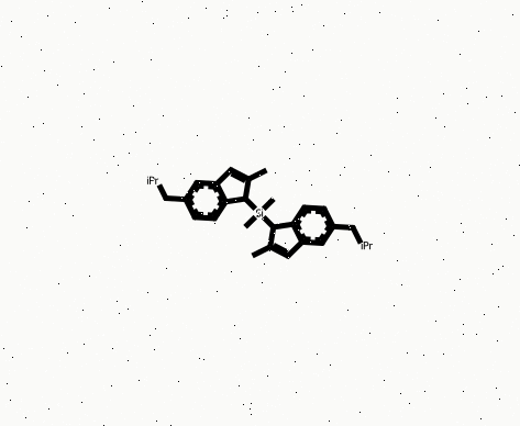 CC1=Cc2cc(CC(C)C)ccc2C1[Si](C)(C)C1C(C)=Cc2cc(CC(C)C)ccc21